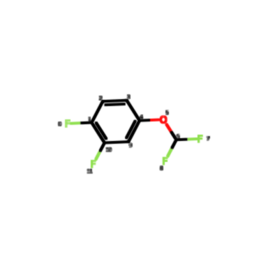 Fc1ccc(OC(F)F)cc1F